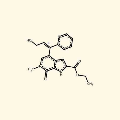 CCOC(=O)c1cc2c(/C(=C\CO)c3ccccn3)cn(C)c(=O)c2[nH]1